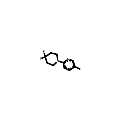 Cc1ccc(N2CCC(F)(F)CC2)nc1